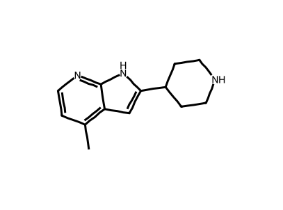 Cc1ccnc2[nH]c(C3CCNCC3)cc12